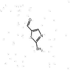 Bc1ncc(C=O)s1